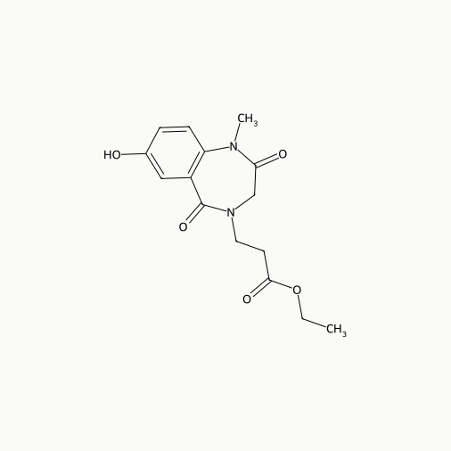 CCOC(=O)CCN1CC(=O)N(C)c2ccc(O)cc2C1=O